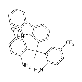 Nc1ccc(C(F)(F)F)cc1C(I)(c1cc(C(F)(F)F)ccc1N)c1cccc2c1[nH]c1ccccc12